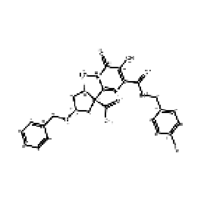 CC(=O)[C@@]1(c2nc(C(=O)NCc3ccc(F)cc3)c(O)c(=O)n2C)C[C@@H](OCc2ccccc2)CN1